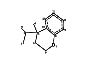 CC(C)C1(C)CCOc2ccccc21